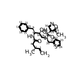 C=C[C@H](C)CC(=O)N[C@@H](Cc1ccccc1)[C@H](O)CN(Cc1cccs1)S(=O)(=O)c1cnoc1C